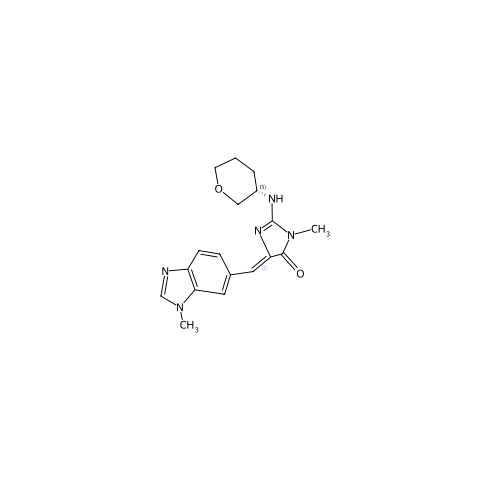 CN1C(=O)/C(=C/c2ccc3ncn(C)c3c2)N=C1N[C@H]1CCCOC1